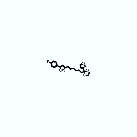 Fc1ccc(-c2cc(CCCCCCC3(c4ccon4)OCCO3)no2)cc1